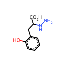 NNC(Cc1ccccc1O)C(=O)O